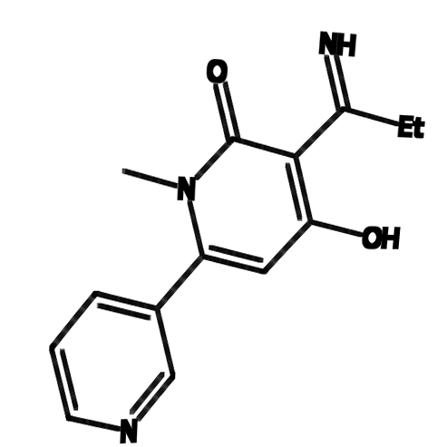 CCC(=N)c1c(O)cc(-c2cccnc2)n(C)c1=O